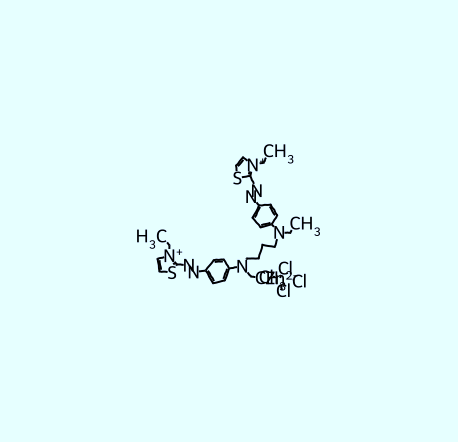 CCN(CCCCN(CC)c1ccc(N=Nc2scc[n+]2CC)cc1)c1ccc(N=Nc2scc[n+]2CC)cc1.[Cl][Zn-2]([Cl])([Cl])[Cl]